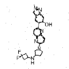 Cn1cc2cc(-c3ccc4nc(N5CCC(NC6CC(F)(F)C6)C5)ccc4n3)c(O)cc2n1